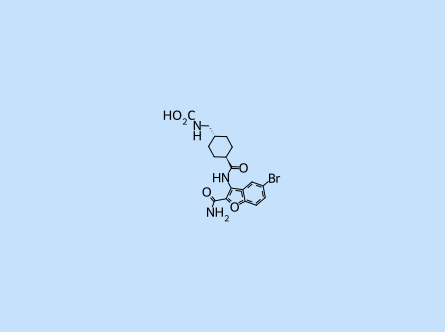 NC(=O)c1oc2ccc(Br)cc2c1NC(=O)[C@H]1CC[C@H](CNC(=O)O)CC1